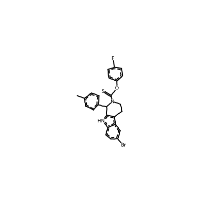 Cc1ccc(C2c3[nH]c4ccc(Br)cc4c3CCN2C(=S)Oc2ccc(F)cc2)cc1